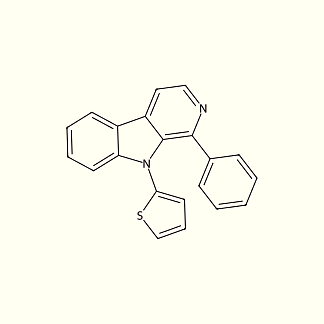 c1ccc(-c2nccc3c4ccccc4n(-c4cccs4)c23)cc1